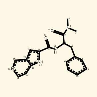 CN(C)C(=O)C(Cc1ccccc1)NC(=O)c1cc2cnccc2[nH]1